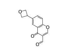 O=Cc1coc2ccc(C3COC3)cc2c1=O